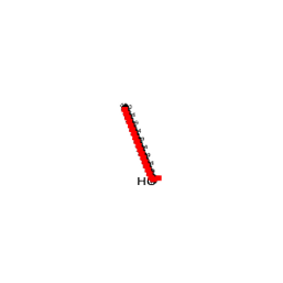 C=CC(C)(O)CC/C=C(\C)CC/C=C(\C)CC/C=C(\C)CC/C=C(\C)CC/C=C(\C)CC/C=C(\C)CC/C=C(\C)CC/C=C(\C)CCC=C(C)C